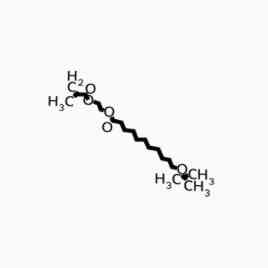 C=C(C)C(=O)OCCOC(=O)CCCCCCCCCCOC(C)(C)C